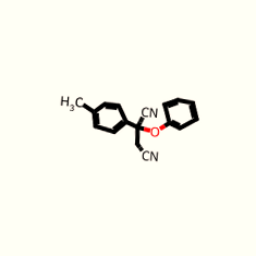 Cc1ccc(C(C#N)(CC#N)Oc2ccccc2)cc1